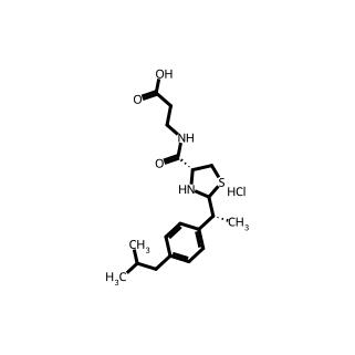 CC(C)Cc1ccc([C@@H](C)C2N[C@H](C(=O)NCCC(=O)O)CS2)cc1.Cl